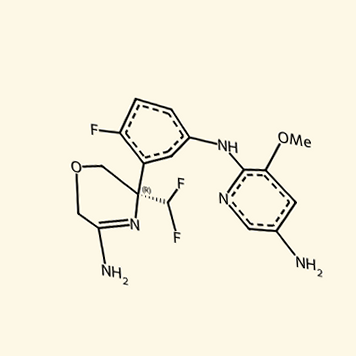 COc1cc(N)cnc1Nc1ccc(F)c([C@]2(C(F)F)COCC(N)=N2)c1